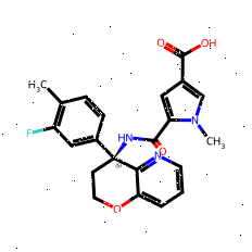 Cc1ccc([C@@]2(NC(=O)c3cc(C(=O)O)cn3C)CCOc3cccnc32)cc1F